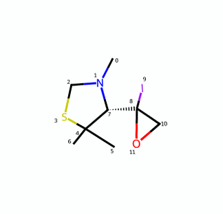 CN1CSC(C)(C)[C@H]1C1(I)CO1